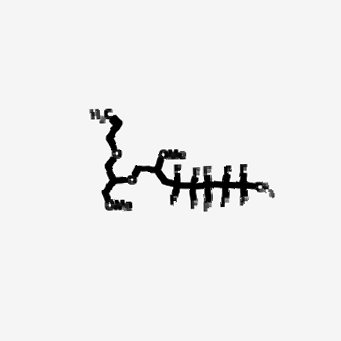 C=CCOCC(COC)OCC(CC(F)(F)C(F)(F)C(F)(F)C(F)(F)C(F)(F)C(F)(F)F)OC